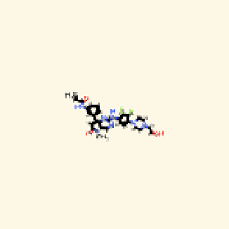 C=CC(=O)Nc1cccc(-c2cc(=O)n(C)c3cnc(Nc4ccc(N5CCN(CCO)CC5)c(F)c4F)nc23)c1